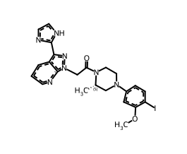 COc1cc(N2CCN(C(=O)Cn3nc(-c4ncc[nH]4)c4cccnc43)[C@@H](C)C2)ccc1I